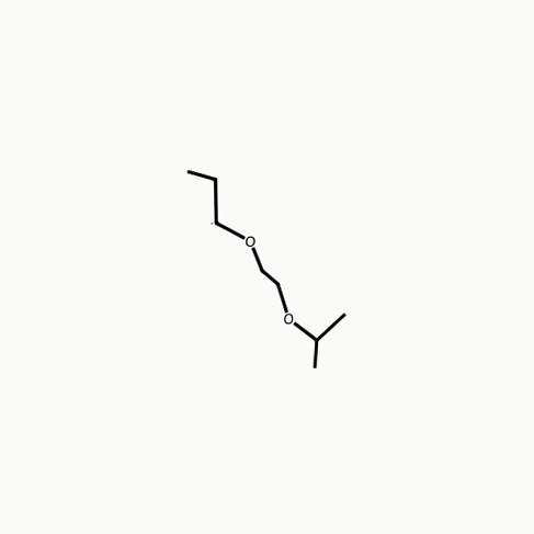 CC[CH]OCCOC(C)C